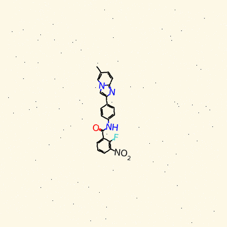 Cc1ccc2nc(-c3ccc(NC(=O)c4cccc([N+](=O)[O-])c4F)cc3)cn2c1